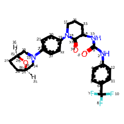 O=C(Nc1ccc(C(F)(F)F)cc1)NC1CCCN(c2ccc(N3C[C@H]4CC[C@@H](C3)O4)cc2)C1=O